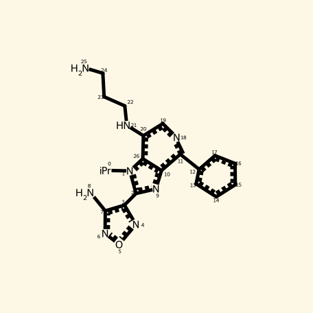 CC(C)n1c(-c2nonc2N)nc2c(-c3ccccc3)ncc(NCCCN)c21